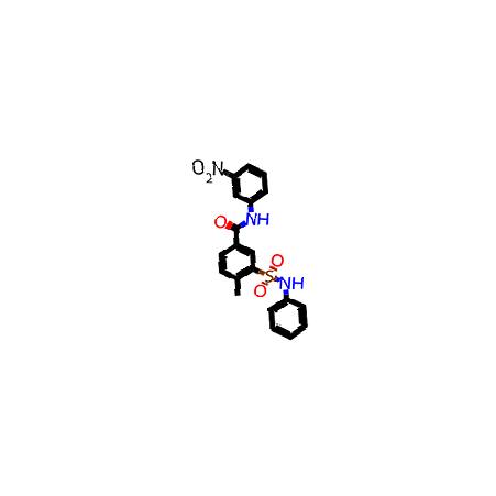 Cc1ccc(C(=O)Nc2cccc([N+](=O)[O-])c2)cc1S(=O)(=O)Nc1ccccc1